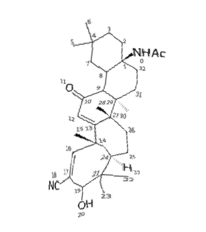 CC(=O)N[C@]12CCC(C)(C)CC1C1C(=O)C=C3[C@@]4(C)C=C(C#N)C(O)C(C)(C)[C@@H]4CC[C@@]3(C)[C@]1(C)CC2